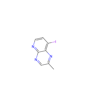 Cc1cnc2nccc(I)c2n1